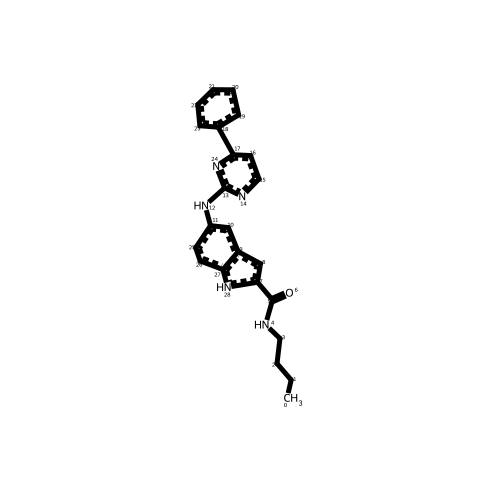 CCCCNC(=O)c1cc2cc(Nc3nccc(-c4ccccc4)n3)ccc2[nH]1